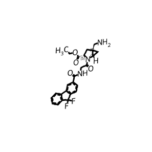 CCOC(=O)[C@@H]1C[C@]2(CN)C[C@@H]2N1C(=O)CNC(=O)c1ccc2c(c1)-c1ccccc1C2(F)F